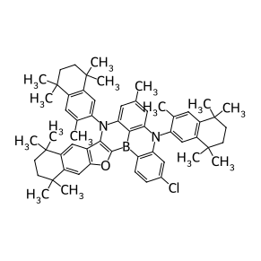 Cc1cc2c3c(c1)N(c1cc4c(cc1C)C(C)(C)CCC4(C)C)c1c(oc4cc5c(cc14)C(C)(C)CCC5(C)C)B3c1ccc(Cl)cc1N2c1cc2c(cc1C)C(C)(C)CCC2(C)C